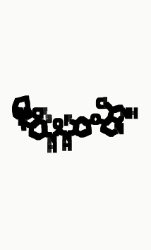 CN1CC2CCC(C1)N2Cc1ccc(NC(=O)Nc2ccc(Oc3ccnc4[nH]cc(Cl)c34)cc2F)cc1C(F)(F)F